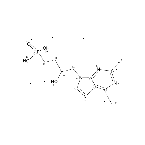 Nc1nc(F)nc2c1ncn2CC(O)CCP(=O)(O)O